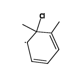 CC1=CC=C[CH]C1(C)Cl